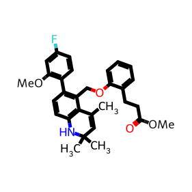 COC(=O)CCc1ccccc1OCc1c(-c2ccc(F)cc2OC)ccc2c1C(C)=CC(C)(C)N2